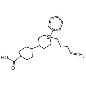 C=CCCC[Si]1(c2ccccc2)CCC(C2CCC(C(=O)O)CC2)CC1